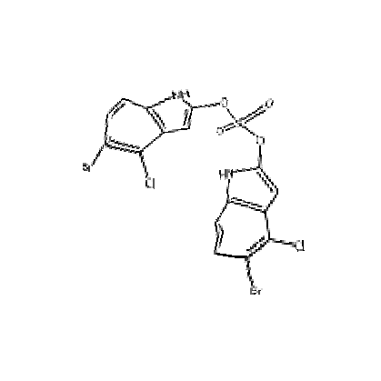 O=S(=O)(Oc1cc2c(Cl)c(Br)ccc2[nH]1)Oc1cc2c(Cl)c(Br)ccc2[nH]1